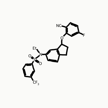 CCN(c1ccc2c(c1)C(Oc1cc(F)ccc1C#N)CC2)S(=O)(=O)c1cccc(C(F)(F)F)c1